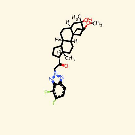 COCC[C@]12CC[C@@](C)(O)C[C@@H]1CC[C@H]1[C@@H]3CC[C@H](C(=O)Cn4nc5ccc(F)c(F)c5n4)[C@@]3(C)CC[C@@H]12